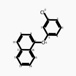 Clc1[c]ccc(Oc2cccc3ccccc23)c1